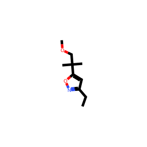 CCc1cc(C(C)(C)COC)on1